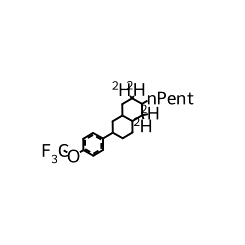 [2H]C1([2H])CC2CC(c3ccc(OC(F)(F)F)cc3)CCC2C([2H])([2H])C1CCCCC